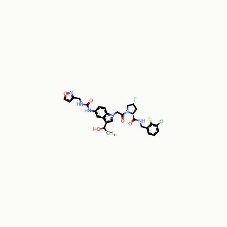 CC(O)c1cn(CC(=O)N2C[C@H](F)C[C@H]2C(=O)NCc2cccc(Cl)c2F)c2ccc(NC(=O)NCc3ccon3)cc12